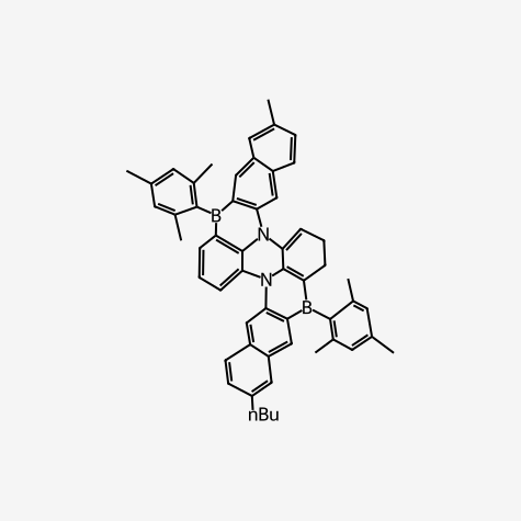 CCCCc1ccc2cc3c(cc2c1)B(c1c(C)cc(C)cc1C)C1=C2C(=CCC1)N1c4cc5ccc(C)cc5cc4B(c4c(C)cc(C)cc4C)c4cccc(c41)N23